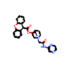 O=C(C[N+]12CCC(CC1)C(OC(=O)C1c3ccccc3Oc3ccccc31)C2)Nc1cnccn1